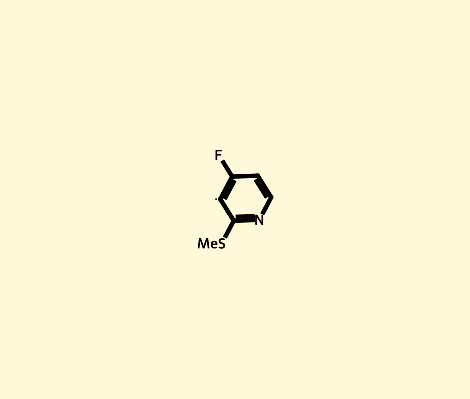 CSc1[c]c(F)ccn1